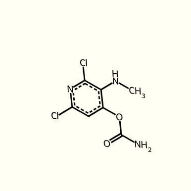 CNc1c(OC(N)=O)cc(Cl)nc1Cl